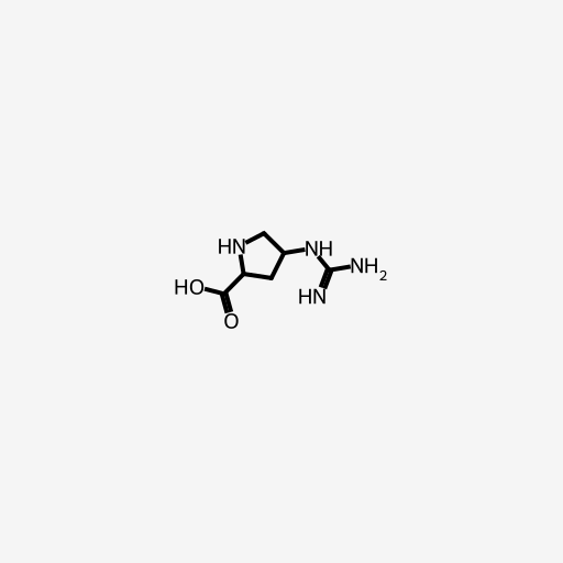 N=C(N)NC1CNC(C(=O)O)C1